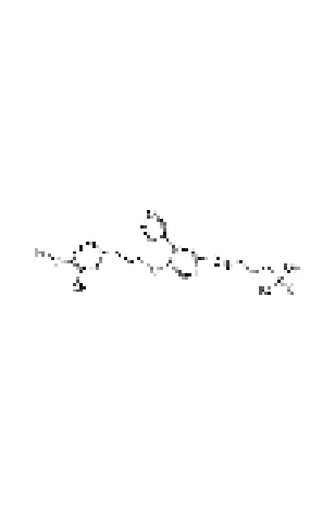 CC(C)Oc1ccc(CCCOc2ccc(CNCCCP(=O)(O)O)cc2-c2ccoc2)cc1C#N